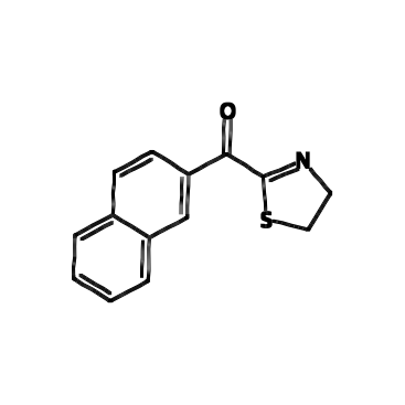 O=C(C1=NCCS1)c1ccc2ccccc2c1